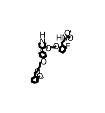 COC(=O)NCCc1c(F)cccc1OCCO[C@H]1CNCC[C@@H]1c1ccc(OCCCOCc2ccccc2OC)cc1